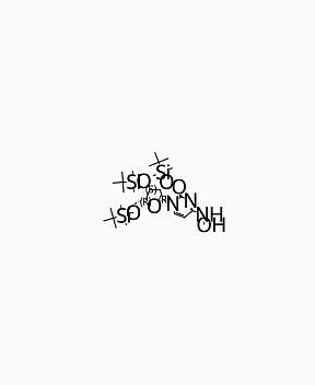 CC(C)(C)[Si](C)(C)OC[C@H]1O[C@@H](n2ccc(NO)nc2=O)C(O[Si](C)(C)C(C)(C)C)[C@H]1O[Si](C)(C)C(C)(C)C